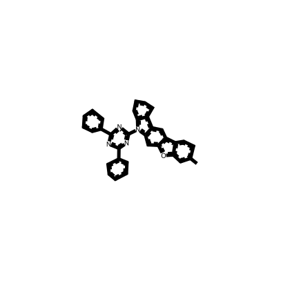 Cc1ccc2c(c1)oc1cc3c(cc12)c1ccccc1n3-c1nc(-c2ccccc2)nc(-c2ccccc2)n1